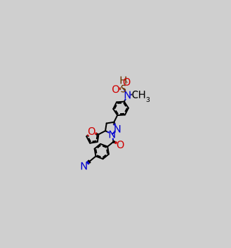 CN(c1ccc(C2=NN(C(=O)c3ccc(C#N)cc3)C(c3ccco3)C2)cc1)[SH](=O)=O